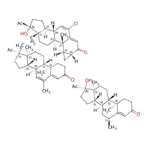 CC(=O)[C@@]1(C)CC[C@H]2[C@@H]3C=C(C)C4=CC(=O)CC[C@]4(C)[C@H]3CC[C@@]21C.CC(=O)[C@@]1(O)CC[C@H]2[C@@H]3C=C(Cl)C4=CC(=O)[C@@H]5C[C@@H]5[C@]4(C)[C@H]3CC[C@@]21C.CC(=O)[C@@]1(O)CC[C@H]2[C@@H]3C[C@H](C)C4=CC(=O)CC[C@]4(C)[C@H]3CC[C@@]21C